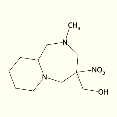 CN1CC2CCCCN2CC(CO)([N+](=O)[O-])C1